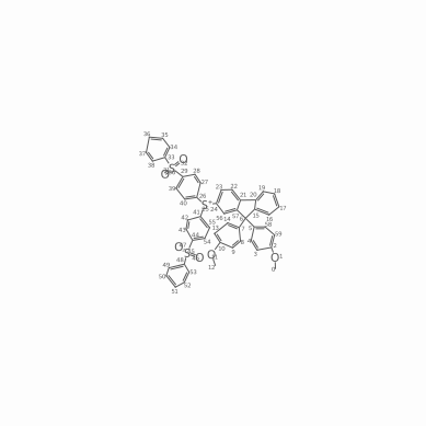 COc1ccc(C2(c3ccc(OC)cc3)c3ccccc3-c3ccc([S+](c4ccc(S(=O)(=O)c5ccccc5)cc4)c4ccc(S(=O)(=O)c5ccccc5)cc4)cc32)cc1